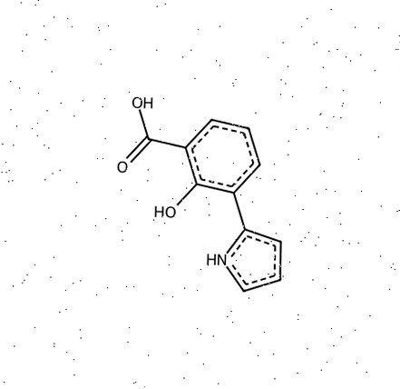 O=C(O)c1cccc(-c2ccc[nH]2)c1O